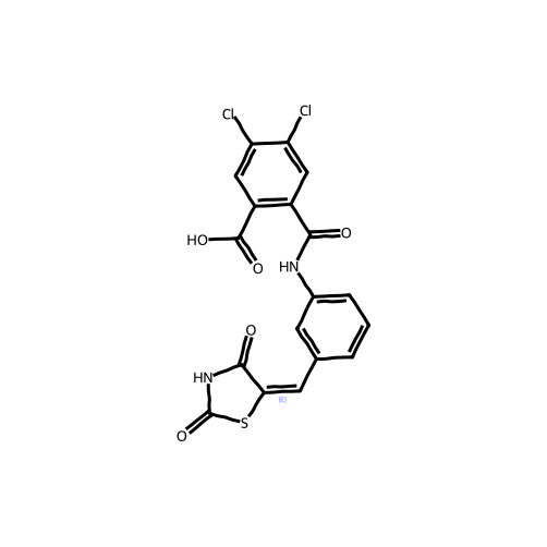 O=C1NC(=O)/C(=C\c2cccc(NC(=O)c3cc(Cl)c(Cl)cc3C(=O)O)c2)S1